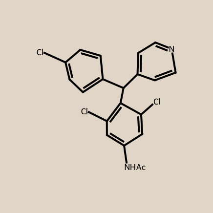 CC(=O)Nc1cc(Cl)c(C(c2ccncc2)c2ccc(Cl)cc2)c(Cl)c1